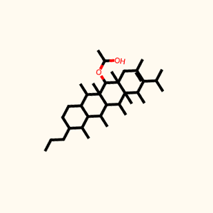 CCCC1CCC2C(C1C)C(C)C1C(C)C3(C)C(C)C(C(C)C)=C(C)CC3(C)C(OC(C)O)C1(C)C2C